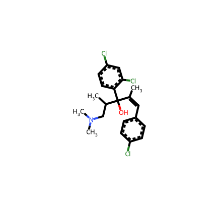 CC(=Cc1ccc(Cl)cc1)C(O)(c1ccc(Cl)cc1Cl)C(C)CN(C)C